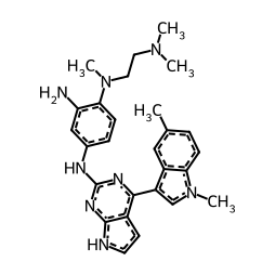 Cc1ccc2c(c1)c(-c1nc(Nc3ccc(N(C)CCN(C)C)c(N)c3)nc3[nH]ccc13)cn2C